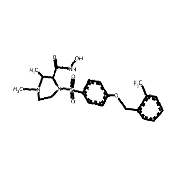 CC1C(C(=O)NO)N(S(=O)(=O)c2ccc(OCc3ccccc3C(F)(F)F)cc2)CCN1C